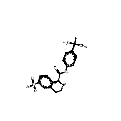 CCS(=O)(=O)c1ccc2c(c1)CCNC2C(=O)Nc1ccc(C(C)(C)F)cc1